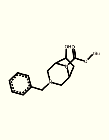 CC(C)(C)OC(=O)N1C2CC(O)C1CN(Cc1ccccc1)C2